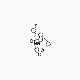 COc1ccc(Cn2nc(C)c(-c3ccccc3OCc3ccccc3)c(/C=C/c3cccc(F)c3)c2=O)cc1OC